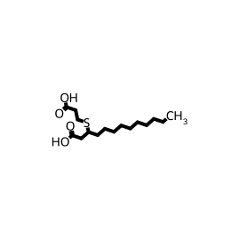 CCCCCCCCCCC(CC(=O)O)SCCC(=O)O